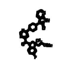 COCCC1(C)CN(C(=O)c2cc(N3CCC(n4c(=O)[nH]c5ncccc54)CC3)ncn2)c2ccc(F)cc21